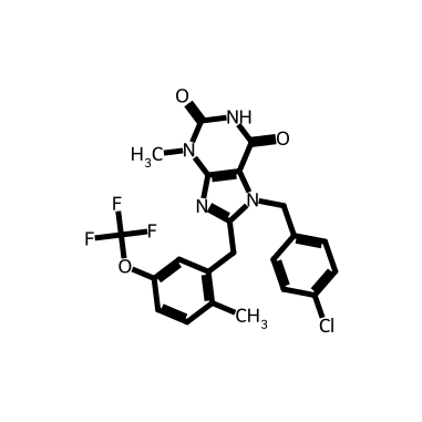 Cc1ccc(OC(F)(F)F)cc1Cc1nc2c(c(=O)[nH]c(=O)n2C)n1Cc1ccc(Cl)cc1